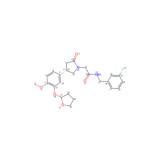 COc1ccc([C@@H]2CC(=O)N(CC(=O)NCc3cccc(F)c3)C2)cc1OC1CCCO1